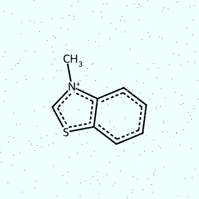 C[n+]1csc2ccccc21